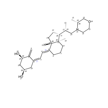 C=C1/C(=C\C=C2/CCC[C@]3(C)[C@@H]([C@H](C)CN4CCOC[C@H]4C)CC[C@@H]23)C[C@@H](O)C[C@H]1O